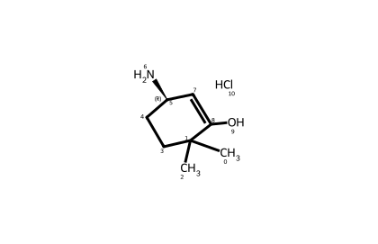 CC1(C)CC[C@@H](N)C=C1O.Cl